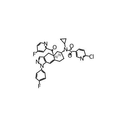 O=C(c1cc(F)ccn1)[C@]12Cc3cnn(-c4ccc(F)cc4)c3C=C1CC[C@H](N(C1CC1)S(=O)(=O)c1ccc(Cl)nc1)C2